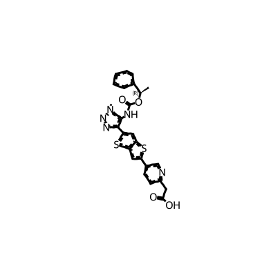 C[C@@H](OC(=O)Nc1c(-c2cc3sc(-c4ccc(CC(=O)O)nc4)cc3s2)nnn1C)c1ccccc1